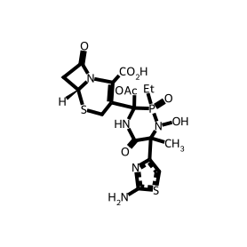 CCP1(=O)N(O)C(C)(c2csc(N)n2)C(=O)NC1(OC(C)=O)C1=C(C(=O)O)N2C(=O)C[C@H]2SC1